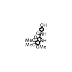 COc1cc2[nH]cc(C(=O)Nc3ccc(O)cc3)c(=O)c2c(OC)c1OC